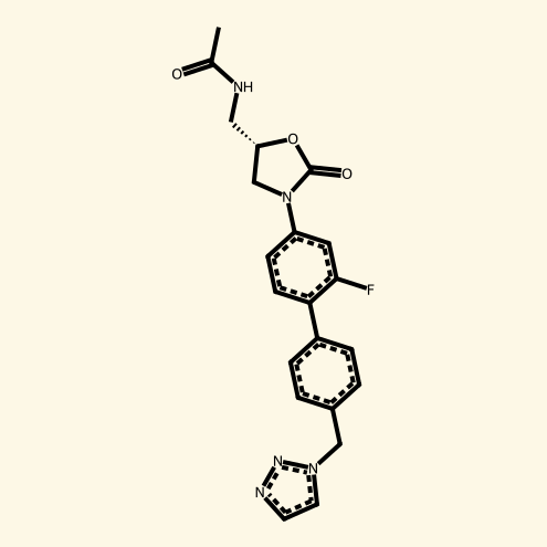 CC(=O)NC[C@H]1CN(c2ccc(-c3ccc(Cn4ccnn4)cc3)c(F)c2)C(=O)O1